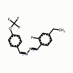 CCc1ccc(/C=N/N=C\c2ccc(OC(F)(F)F)cc2)c(F)c1